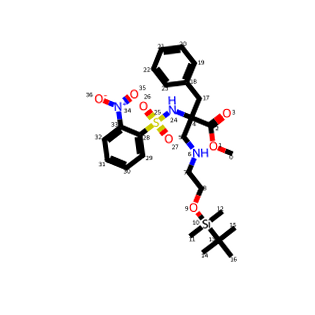 COC(=O)C(CNCCO[Si](C)(C)C(C)(C)C)(Cc1ccccc1)NS(=O)(=O)c1ccccc1[N+](=O)[O-]